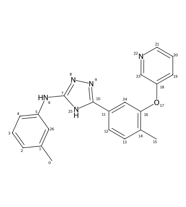 Cc1cccc(Nc2nnc(-c3ccc(C)c(Oc4cccnc4)c3)[nH]2)c1